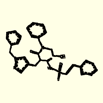 O=C(NS(=O)(=O)C=Cc1ccccc1)C(Cc1cnn(Cc2ccccc2)c1)C(=O)N(CCO)c1ccccc1